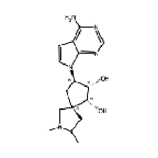 CC1C[C@]2(C[C@@H](n3ccc4c(N)ncnc43)[C@H](O)[C@@H]2O)CN1C